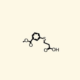 COC(=O)c1cccc(SCCC(=O)O)c1